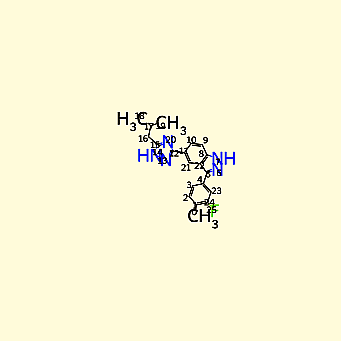 Cc1ccc(-c2n[nH]c3ccc(-c4n[nH]c(CC(C)C)n4)cc23)cc1F